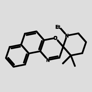 CCN1CCCC(C)(C)C12C=Nc1c(ccc3ccccc13)O2